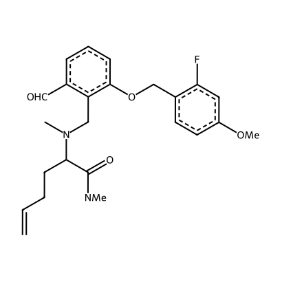 C=CCCC(C(=O)NC)N(C)Cc1c(C=O)cccc1OCc1ccc(OC)cc1F